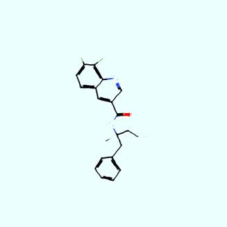 CC(C)C[C@](C)(Cc1ccccc1)NC(=O)c1cnc2c(F)c(F)ccc2c1